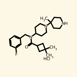 CC1(C)CC(C(=O)N(Cc2cccc(F)c2)C2CCN(C3(C)CCNCC3)CC2)C1.Cl